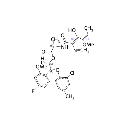 C=N/C(C(=O)N[C@@H](C)C(=O)O[C@@H](C)[C@H](Oc1ccc(C)cc1Cl)c1ccc(F)cc1OC)=C(O)\C(=C/C)OC